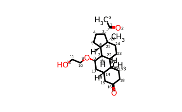 CC(=O)[C@H]1CC[C@H]2[C@@H]3[C@H](OCCO)C[C@H]4CC(=O)CC[C@]4(C)[C@H]3CC[C@]12C